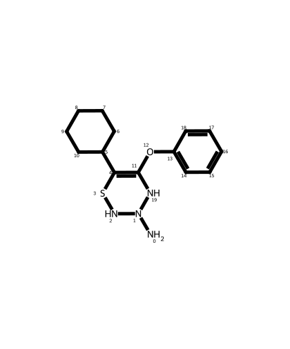 Nn1[nH]sc(C2CCCCC2)c(Oc2ccccc2)[nH]1